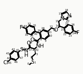 CSCC[C@H](NC(=O)c1ccc(COC(Cn2ccnc2)c2ccc(F)cc2)cc1-c1ccc(F)cc1)C(=O)NSc1ccc(Cl)cc1